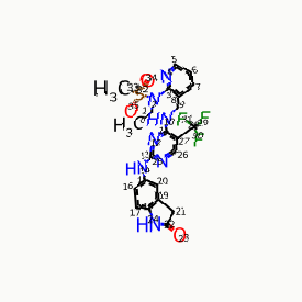 CCN(c1ncccc1CNc1nc(Nc2ccc3c(c2)CC(=O)N3)ncc1C(F)(F)F)S(C)(=O)=O